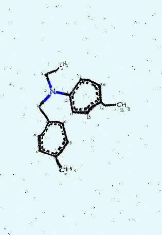 CCN(Cc1ccc(C)cc1)c1ccc(C)cc1